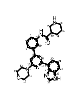 O=C(Nc1cccc(-c2cc(N3CCOCC3)nc(-c3cccc4[nH]cnc34)n2)c1)C1CCCNC1